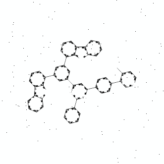 Cc1ccncc1-c1ccc(-c2cc(-c3cc(-c4cccc5c4oc4ccccc45)cc(-c4cccc5c4oc4ccccc45)c3)nc(-c3ccccc3)n2)cc1